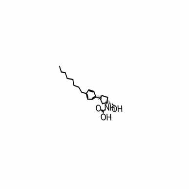 CCCCCCCCc1ccc([C@H]2CC[C@@](CO)(NC(=O)O)C2)cc1